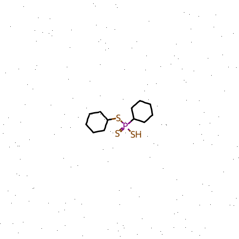 S=P(S)(SC1CCCCC1)C1CCCCC1